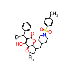 CCC(CC1CCN(S(=O)(=O)c2ccc(C)cc2)CC1)C1OC(=O)C(C(c2ccccc2)C2CC2)=C(O)C1=O